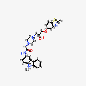 CCn1c2ccccc2c2cc(NC(=O)CN3CCN(C[C@@H](O)COc4ccc5sc(C)nc5c4)CC3)ccc21